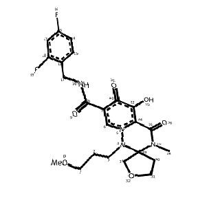 COCCCN1n2cc(C(=O)NCc3ccc(F)cc3F)c(=O)c(O)c2C(=O)N(C)C12CCOC2